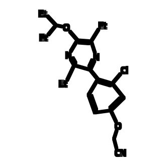 CCc1nc(-c2ccc(OCC#N)cc2Cl)c(CC)nc1OC(CC)CC